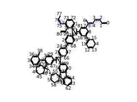 C=C/C=C\C=C(/C)c1cc(C2=CC=CCC2)cc(N(c2ccc(C3=CC=C(N(c4ccc(-c5ccccc5C)c(C5(C)CCCCC5)c4)c4ccc5c(c4)C4(CCCCC4)c4ccccc4-5)CC3)cc2)c2cccc(/C=C\C)c2C=C)c1